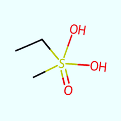 CCS(C)(=O)(O)O